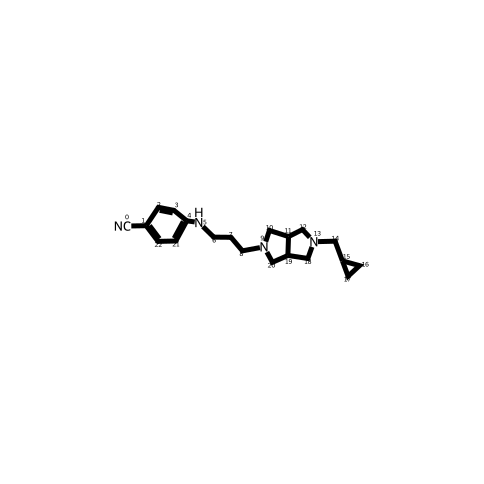 N#Cc1ccc(NCCCN2CC3CN(CC4CC4)CC3C2)cc1